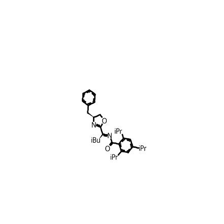 CC[C@H](C)/C(=N\C(=O)c1c(C(C)C)cc(C(C)C)cc1C(C)C)C1=N[C@@H](Cc2ccccc2)CO1